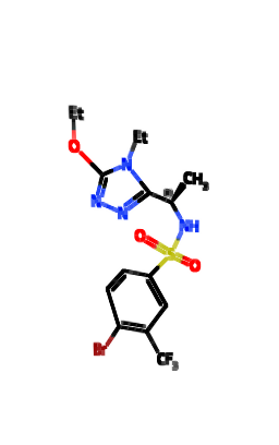 CCOc1nnc([C@@H](C)NS(=O)(=O)c2ccc(Br)c(C(F)(F)F)c2)n1CC